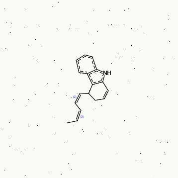 C/C=C\C=C/C1CC=Cc2[nH]c3ccccc3c21